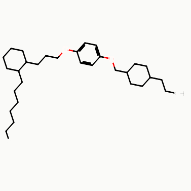 CCCCCCCC1CCCCC1CCCOc1ccc(OCC2CCC(CCC)CC2)cc1